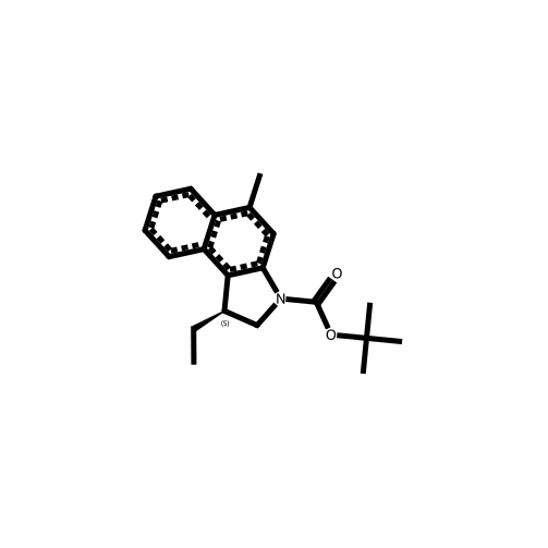 CC[C@@H]1CN(C(=O)OC(C)(C)C)c2cc(C)c3ccccc3c21